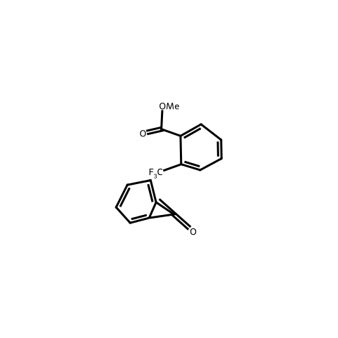 COC(=O)c1ccccc1C(F)(F)F.O=c1c2ccccc12